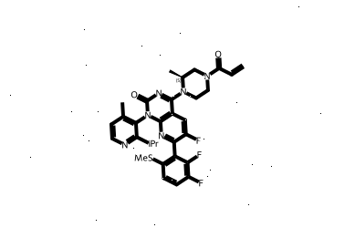 C=CC(=O)N1CCN(c2nc(=O)n(-c3c(C)ccnc3C(C)C)c3nc(-c4c(SC)ccc(F)c4F)c(F)cc23)[C@@H](C)C1